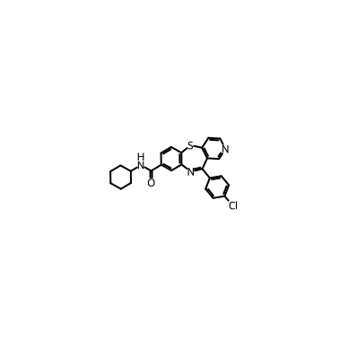 O=C(NC1CCCCC1)c1ccc2c(c1)N=C(c1ccc(Cl)cc1)c1cnccc1S2